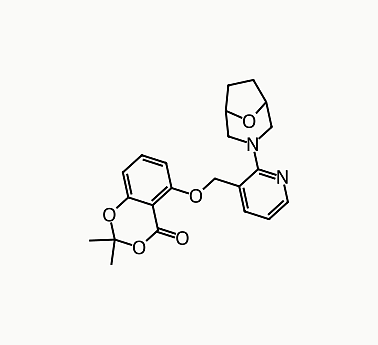 CC1(C)OC(=O)c2c(OCc3cccnc3N3CC4CCC(C3)O4)cccc2O1